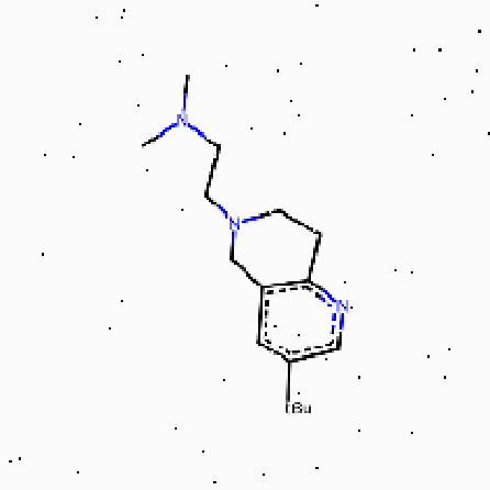 CN(C)CCN1CCc2ncc(C(C)(C)C)cc2C1